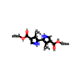 CCCCCCOC(=O)c1c[nH]c(-c2[nH]cc(C(=O)OCCCCCC)c2C)c1C